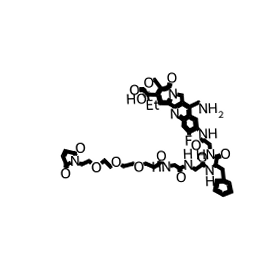 CC[C@@]1(O)C(=O)OCc2c1cc1n(c2=O)Cc2c-1nc1cc(F)c(NC(=O)CNC(=O)C(Cc3ccccc3)NC(=O)CNC(=O)CNC(=O)CCOCCOCCOCCN3C(=O)C=CC3=O)cc1c2CN